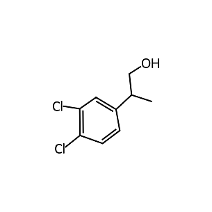 CC(CO)c1ccc(Cl)c(Cl)c1